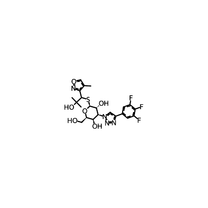 Cc1conc1C(S[C@@H]1O[C@H](CO)[C@H](O)[C@H](n2cc(-c3cc(F)c(F)c(F)c3)nn2)[C@H]1O)C(C)(C)O